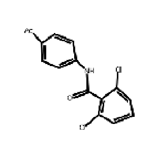 CC(=O)c1ccc(NC(=O)c2c(Cl)cccc2Cl)cc1